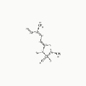 C=N/C(=C\C=C(/C)C(C)S(C)(=O)=NC#N)C(F)(F)F